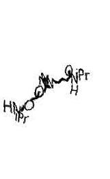 CC(C)NCCOCCOCc1cn(CCCCC(=O)NC(C)C)nn1